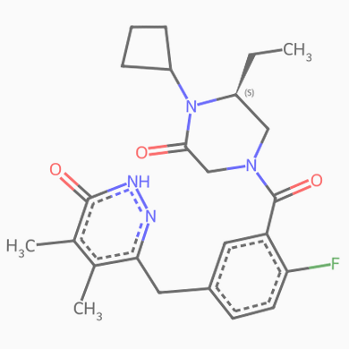 CC[C@H]1CN(C(=O)c2cc(Cc3n[nH]c(=O)c(C)c3C)ccc2F)CC(=O)N1C1CCC1